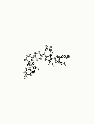 CCOC(=O)c1nc(-c2c(C)nc(CN3CCC(c4cccc5c4O[C@@](C)(c4ccc(Cl)cc4F)O5)CC3)n2C[C@@H]2CCO2)oc1C